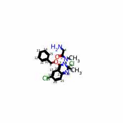 CN(C(=O)CN)N1C(OCc2ccccc2)=c2cc(Cl)ccc2=NC1(C)Cl